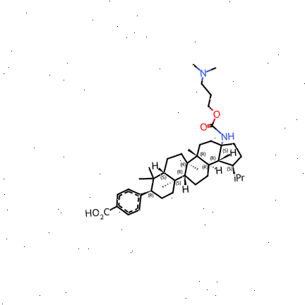 CC(C)[C@@H]1CC[C@]2(NC(=O)OCCCN(C)C)CC[C@]3(C)[C@H](CC[C@@H]4[C@@]5(C)CC[C@@H](c6ccc(C(=O)O)cc6)C(C)(C)[C@@H]5CC[C@]43C)[C@@H]12